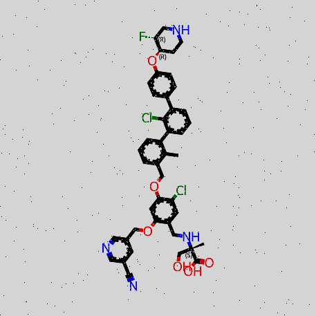 Cc1c(COc2cc(OCc3cncc(C#N)c3)c(CN[C@@](C)(CO)C(=O)O)cc2Cl)cccc1-c1cccc(-c2ccc(O[C@@H]3CCNC[C@H]3F)cc2)c1Cl